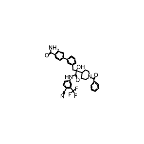 N#Cc1ccc(NC(=O)C(O)(Cc2cccc(-c3ccc(C(N)=O)cc3)c2)C2CCN(C(=O)c3ccccc3)CC2)cc1C(F)(F)F